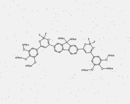 CCCCCCOc1cc(C2=CC(c3ccc4c(c3)C(CCCCCC)(CCCCCC)c3cc(C5=CC(c6cc(OCCCCCC)c(OCCCCCC)c(OCCCCCC)c6)=[O+][B-](F)(F)O5)ccc3-4)=[O+][B-](F)(F)O2)cc(OCCCCCC)c1OCCCCCC